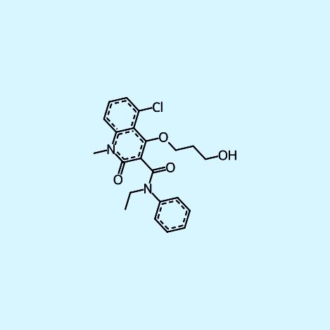 CCN(C(=O)c1c(OCCCO)c2c(Cl)cccc2n(C)c1=O)c1ccccc1